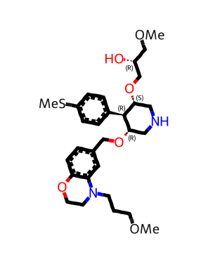 COCCCN1CCOc2ccc(CO[C@H]3CNC[C@@H](OC[C@H](O)COC)[C@@H]3c3ccc(SC)cc3)cc21